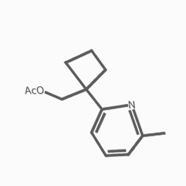 CC(=O)OCC1(c2cccc(C)n2)CCC1